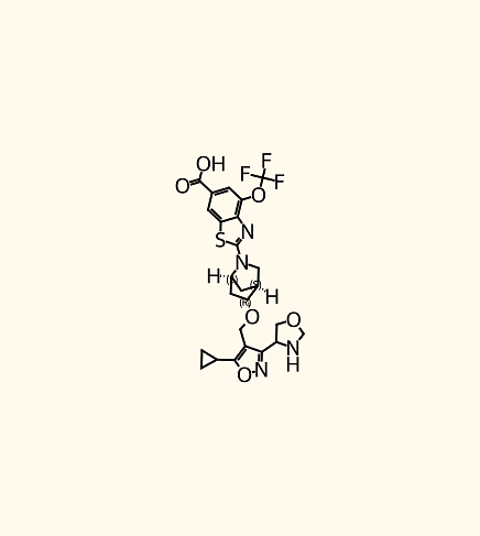 O=C(O)c1cc(OC(F)(F)F)c2nc(N3C[C@@H]4C[C@H]3C[C@H]4OCc3c(C4COCN4)noc3C3CC3)sc2c1